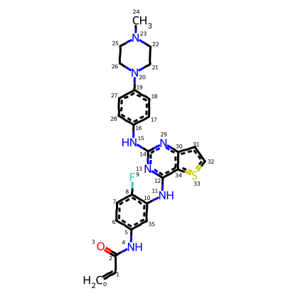 C=CC(=O)Nc1ccc(F)c(Nc2nc(Nc3ccc(N4CCN(C)CC4)cc3)nc3ccsc23)c1